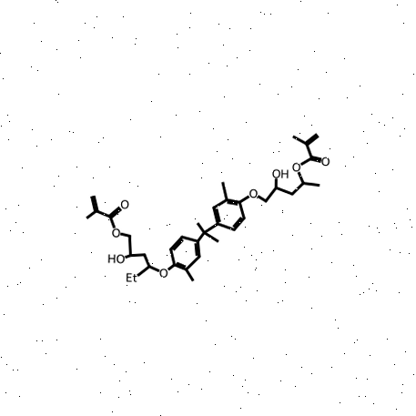 C=C(C)C(=O)OCC(O)CC(CC)Oc1ccc(C(C)(C)c2ccc(OCC(O)CC(C)OC(=O)C(=C)C)c(C)c2)cc1C